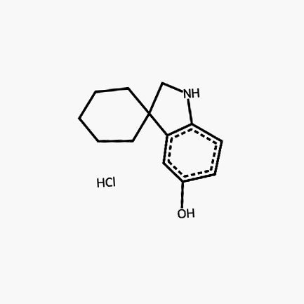 Cl.Oc1ccc2c(c1)C1(CCCCC1)CN2